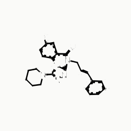 O=c1c2cc(Br)ccc2n2c(N3CCCCC3)nnc2n1CC=Cc1ccccc1